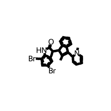 CC1=C(C2C=CC=CN2C)c2ccccc2C1C1C(=O)Nc2c(Br)cc(Br)cc21